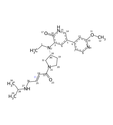 CCN(c1cc(-c2ccnc(OC)c2)c[nH]c1=O)[C@@H]1CCN(C(=O)/C=C/CNC(C)C)C1